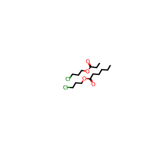 CCC(=O)OCCCCl.CCCCCC(=O)OCCCCl